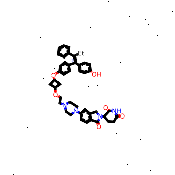 CC/C(=C(\c1ccc(O)cc1)c1ccc(OC2CC(OCCN3CCN(c4ccc5c(c4)CN(C4CCC(=O)NC4=O)C5=O)CC3)C2)cc1)c1ccccc1